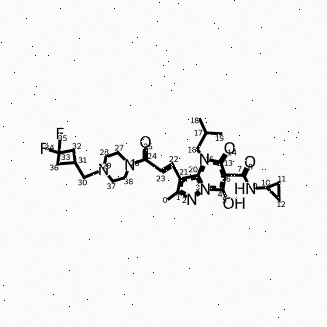 Cc1nn2c(O)c(C(=O)NC3CC3)c(=O)n(CC(C)C)c2c1C=CC(=O)N1CCN(CC2CC(F)(F)C2)CC1